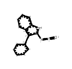 O=C=Nc1[nH]c2ccccc2c1-c1ccccc1